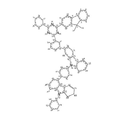 CC1(C)c2ccccc2-c2ccc(-c3nc(-c4ccccc4)nc(-c4cccc(-c5ccc6c7ccccc7n(-c7ccc(-c8cccc9c8c8c(n9-c9ccccc9)CCC=C8)cc7)c6c5)c4)n3)cc21